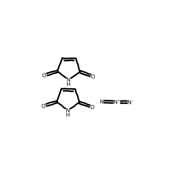 O=C1C=CC(=O)N1.O=C1C=CC(=O)N1.[N-]=[N+]=[N-]